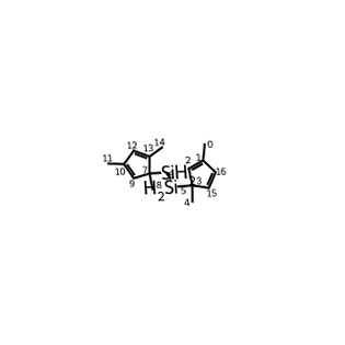 CC1=CC(C)([SiH2][SiH2]C2(C)C=C(C)C=C2C)C=C1